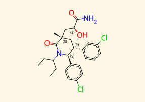 CCC(CC)N1C(=O)[C@](C)(C[C@H](O)C(N)=O)C[C@H](c2cccc(Cl)c2)[C@H]1c1ccc(Cl)cc1